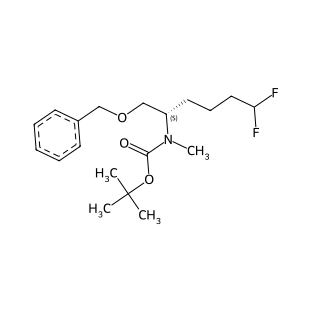 CN(C(=O)OC(C)(C)C)[C@@H](CCCC(F)F)COCc1ccccc1